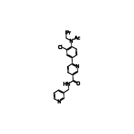 CC(=O)N(CC(C)C)c1ccc(-c2ccc(C(=O)NCc3cccnc3)cn2)cc1Cl